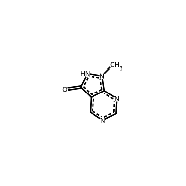 Cn1[nH]c(=O)c2cncnc21